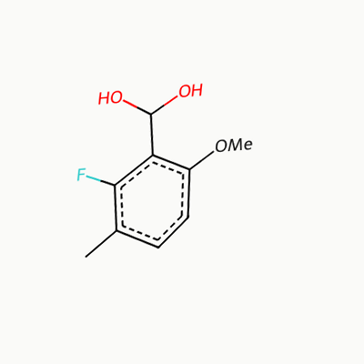 COc1ccc(C)c(F)c1C(O)O